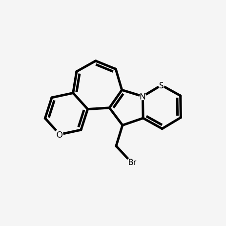 BrCC1C2=CC=CSN2C2=C1C1=COC=CC1=CC=C2